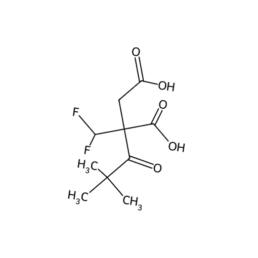 CC(C)(C)C(=O)C(CC(=O)O)(C(=O)O)C(F)F